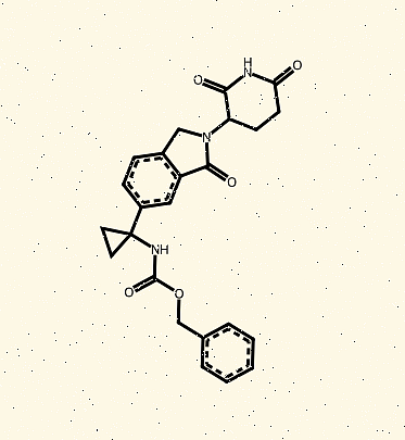 O=C1CCC(N2Cc3ccc(C4(NC(=O)OCc5ccccc5)CC4)cc3C2=O)C(=O)N1